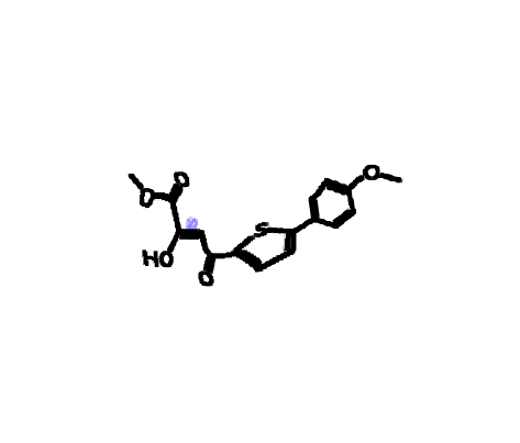 COC(=O)/C(O)=C/C(=O)c1ccc(-c2ccc(OC)cc2)s1